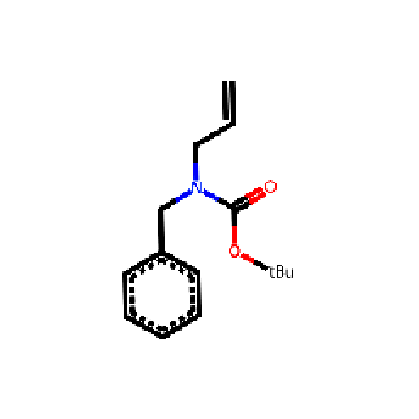 C=CCN(Cc1ccccc1)C(=O)OC(C)(C)C